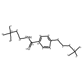 CC(C)(C)CCCc1ccc(C(=O)NCCC(C)(C)C)cc1